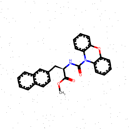 COC(=O)[C@@H](Cc1ccc2ccccc2c1)NC(=O)N1c2ccccc2Oc2ccccc21